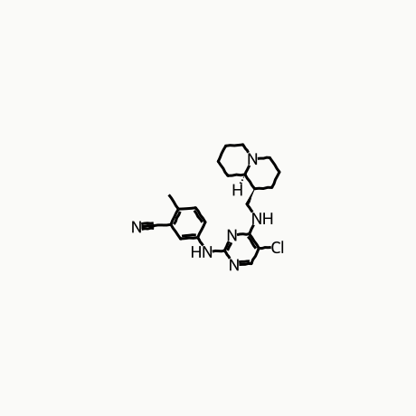 Cc1ccc(Nc2ncc(Cl)c(NC[C@@H]3CCCN4CCCC[C@H]34)n2)cc1C#N